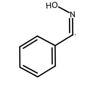 O/N=[C]\c1ccccc1